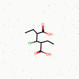 CCC(C(=O)O)C(Cl)C(CC)C(=O)O